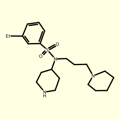 CCc1cccc(S(=O)(=O)N(CCCN2CCCCC2)C2CCNCC2)c1